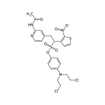 CC(=O)Nc1cc(CC(c2ccsc2[N+](=O)[O-])S(=O)(=O)Oc2ccc(N(CCCl)CCCl)cc2)ccn1